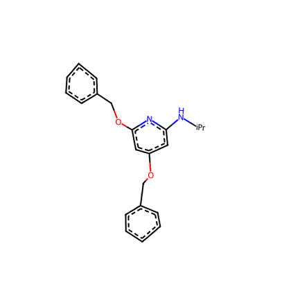 CC(C)Nc1cc(OCc2ccccc2)cc(OCc2ccccc2)n1